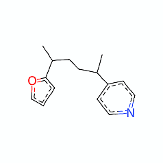 CC(CCC(C)c1ccco1)c1ccncc1